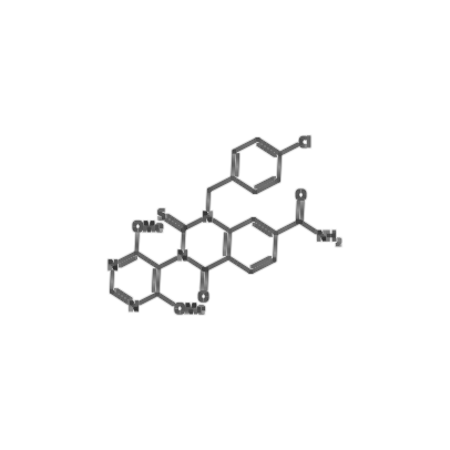 COc1ncnc(OC)c1-n1c(=O)c2ccc(C(N)=O)cc2n(Cc2ccc(Cl)cc2)c1=S